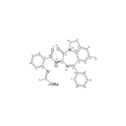 COC(C)=Nc1ccccc1C(=O)N[C@@H]1N=C(c2ccccc2)c2cc(C)cc3c2N(CC3)C1=O